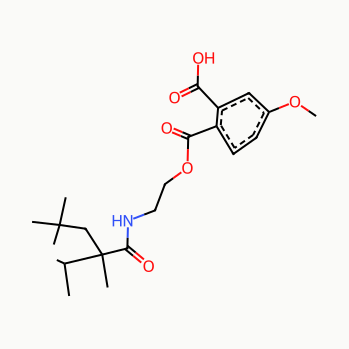 COc1ccc(C(=O)OCCNC(=O)C(C)(CC(C)(C)C)C(C)C)c(C(=O)O)c1